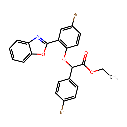 CCOC(=O)C(Oc1ccc(Br)cc1-c1nc2ccccc2o1)c1ccc(Br)cc1